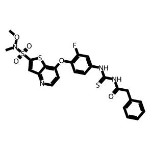 CON(C)S(=O)(=O)c1cc2nccc(Oc3ccc(NC(=S)NC(=O)Cc4ccccc4)cc3F)c2s1